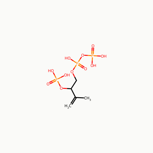 C=C(C)C(COP(=O)(O)OP(=O)(O)O)OP(=O)(O)O